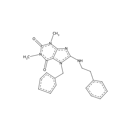 Cn1c(=O)c2c(nc(NCCc3ccccc3)n2Cc2ccccc2)n(C)c1=O